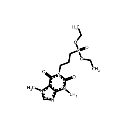 CCOP(=O)(CCCn1c(=O)c2c(ncn2C)n(C)c1=O)OCC